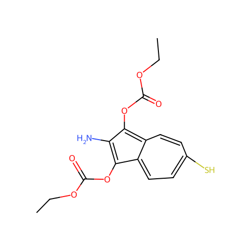 CCOC(=O)Oc1c2ccc(S)ccc-2c(OC(=O)OCC)c1N